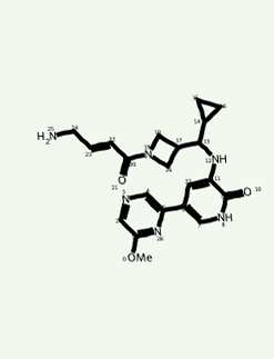 COc1cncc(-c2c[nH]c(=O)c(NC(C3CC3)C3CN(C(=O)/C=C/CN)C3)c2)n1